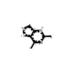 Cc1nc(C)c2sncc2n1